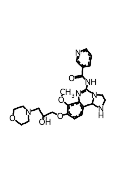 COc1c(OC[C@H](O)CN2CCOCC2)ccc2c1N=C(NC(=O)c1cccnc1)N1CCNC21